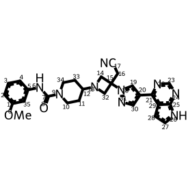 COc1cccc(NC(=O)N2CCC(N3CC(CC#N)(n4cc(-c5ncnc6[nH]ccc56)cn4)C3)CC2)c1